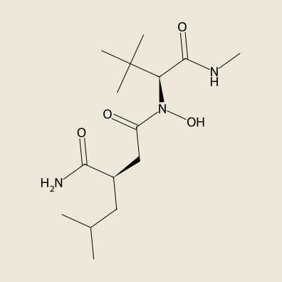 CNC(=O)[C@@H](N(O)C(=O)C[C@@H](CC(C)C)C(N)=O)C(C)(C)C